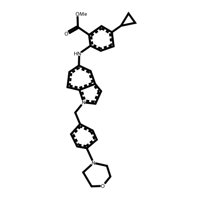 COC(=O)c1cc(C2CC2)ccc1Nc1ccc2c(ccn2Cc2ccc(N3CCOCC3)cc2)c1